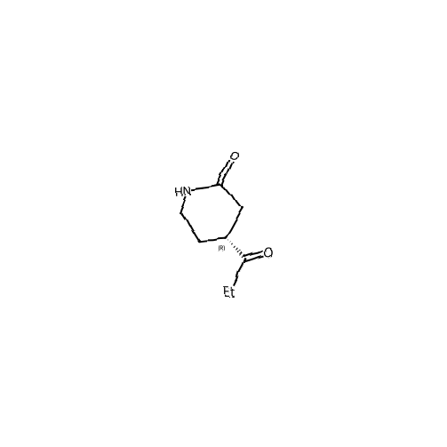 CCC(=O)[C@@H]1CCNC(=O)C1